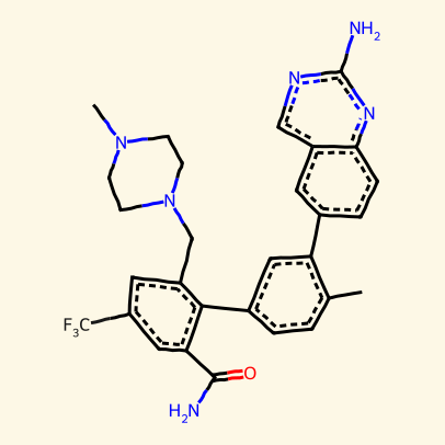 Cc1ccc(-c2c(CN3CCN(C)CC3)cc(C(F)(F)F)cc2C(N)=O)cc1-c1ccc2nc(N)ncc2c1